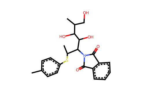 Cc1ccc(SC(C)C(C(O)C(O)C(C)CO)N2C(=O)c3ccccc3C2=O)cc1